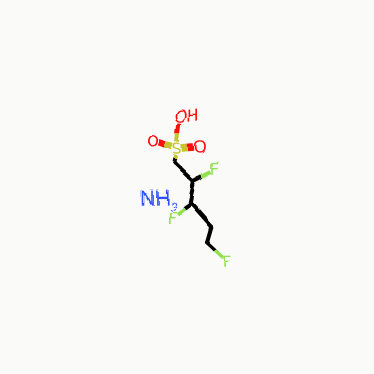 N.O=S(=O)(O)CC(F)C(F)CCF